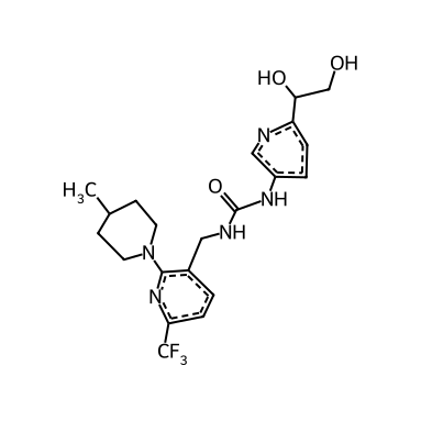 CC1CCN(c2nc(C(F)(F)F)ccc2CNC(=O)Nc2ccc(C(O)CO)nc2)CC1